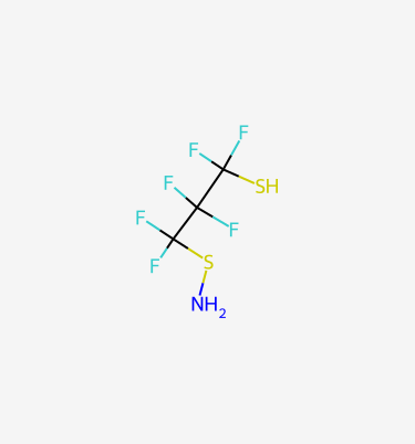 NSC(F)(F)C(F)(F)C(F)(F)S